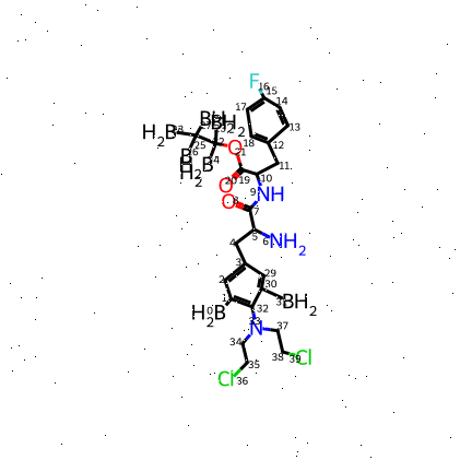 Bc1cc(CC(N)C(=O)NC(Cc2ccc(F)cc2)C(=O)OC(B)(B)C(B)(B)B)cc(B)c1N(CCCl)CCCl